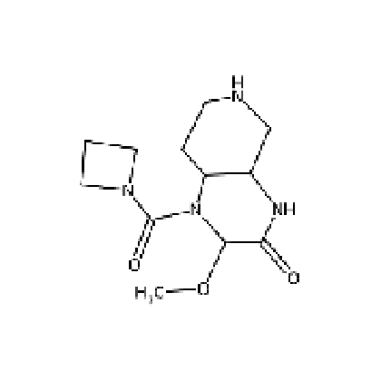 COC1C(=O)NC2CNCCC2N1C(=O)N1CCC1